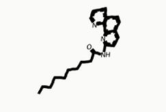 CCCCCCCCCC(=O)Nc1ccc2ccc3cccnc3c2n1